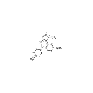 CC(=O)Nc1ccc(OC2CCN(C)CC2)c(-c2c(Cl)cnn2C)c1